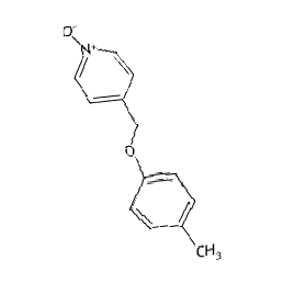 Cc1ccc(OCc2cc[n+]([O-])cc2)cc1